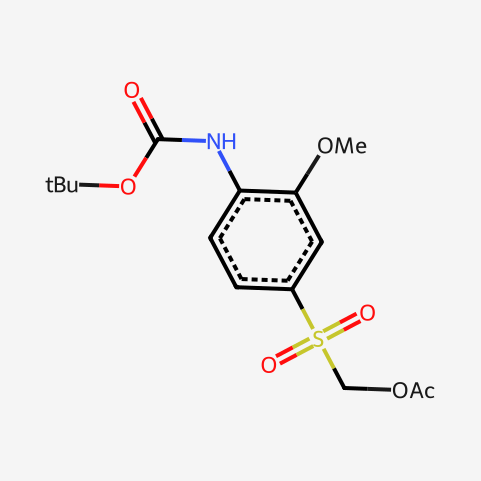 COc1cc(S(=O)(=O)COC(C)=O)ccc1NC(=O)OC(C)(C)C